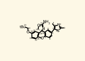 Cc1nc(C)c(-c2ccc3c(c2)[C@@]2(COC(N)=N2)c2cc(OCC(C)(C)C)ccc2O3)s1